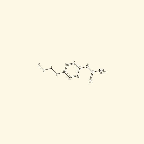 CCCCc1ccc(OC(N)=S)cc1